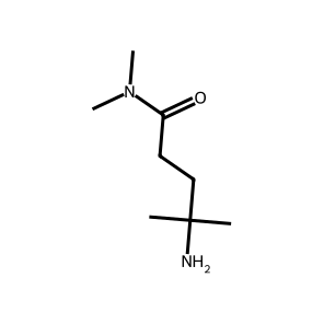 CN(C)C(=O)CCC(C)(C)N